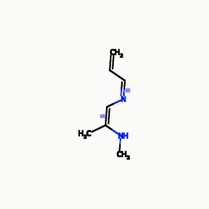 C=C/C=N\C=C(\C)NC